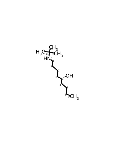 CCCC[C@@H](O)CCCCNC(C)(C)C